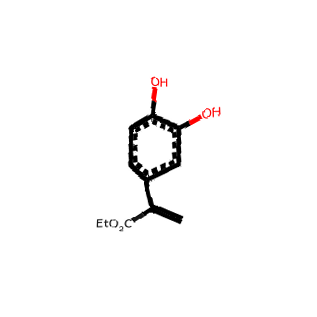 C=C(C(=O)OCC)c1ccc(O)c(O)c1